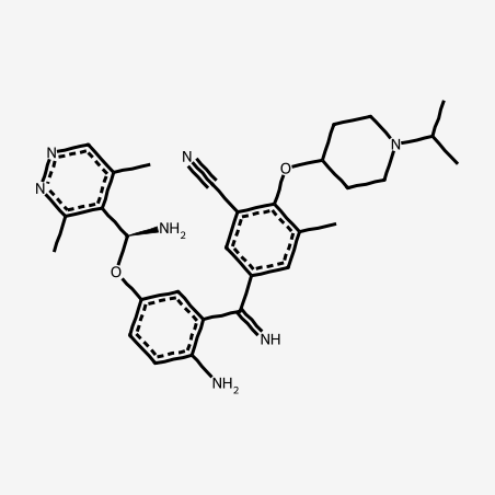 Cc1cc(C(=N)c2cc(O[C@H](N)c3c(C)cnnc3C)ccc2N)cc(C#N)c1OC1CCN(C(C)C)CC1